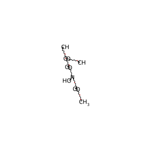 C#CCCCCCCOC(CCCCC(=O)OCCCCCCN(CCO)CCCCCCCC(=O)OCCCCCCCCC)OCCCCCCC#C